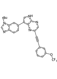 CC(C)(C)n1cnc2ccc(-c3c[nH]c4ncc(C#Cc5cccc(OC(F)(F)F)c5)nc34)cc21